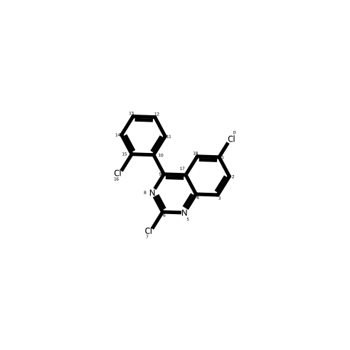 Clc1ccc2nc(Cl)nc(-c3ccccc3Cl)c2c1